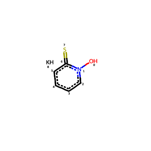 On1ccccc1=S.[KH]